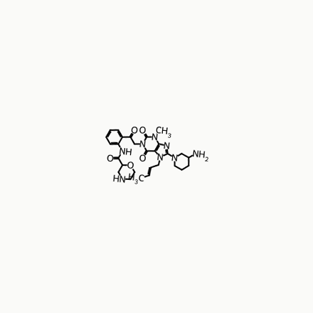 CC=CCn1c(N2CCCC(N)C2)nc2c1c(=O)n(CC(=O)c1ccccc1NC(=O)C1CNCCO1)c(=O)n2C